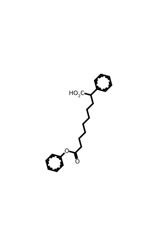 O=C(CCCCCCCC(C(=O)O)c1ccccc1)Oc1ccccc1